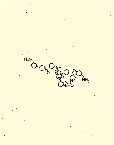 NCc1cccc(C2CCN(C(=O)c3cccc(NC(=O)C[C@@]4(c5ccccc5)OB(c5cccc6[nH]c(C(=O)N7CCC8(CC7)COc7ccc(CN)cc78)cc56)OC4=O)c3)CC2)c1